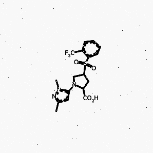 Cc1cc(N2CC(S(=O)(=O)c3ccccc3C(F)(F)F)CC2C(=O)O)n(C)n1